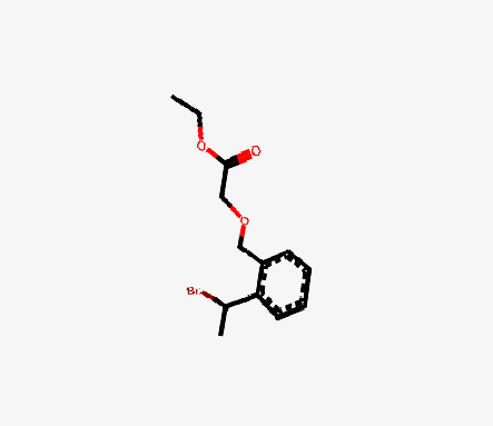 CCOC(=O)COCc1ccccc1C(C)Br